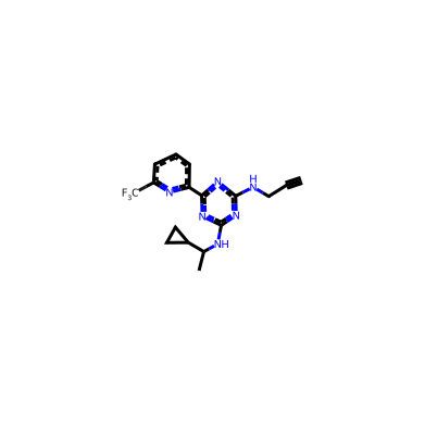 C#CCNc1nc(NC(C)C2CC2)nc(-c2cccc(C(F)(F)F)n2)n1